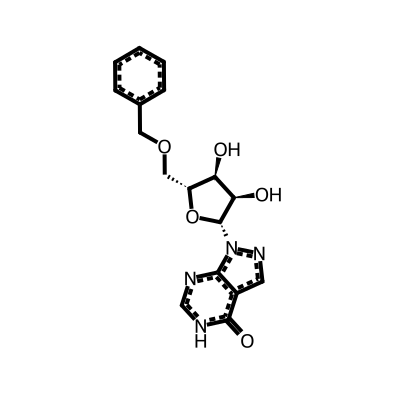 O=c1[nH]cnc2c1cnn2[C@@H]1O[C@H](COCc2ccccc2)[C@@H](O)[C@H]1O